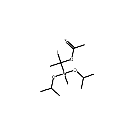 CC(=S)OC(C)(I)[Si](C)(OC(C)C)OC(C)C